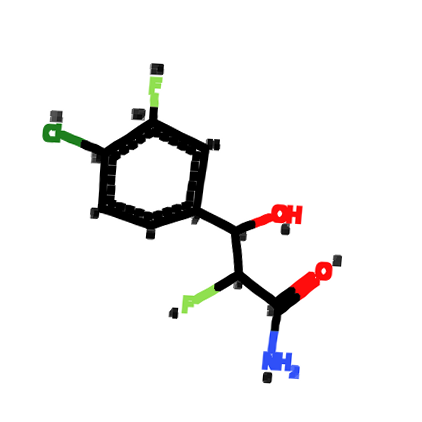 NC(=O)C(F)C(O)c1ccc(Cl)c(F)c1